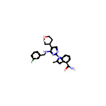 Cc1cc2c(C(N)=O)cccc2n1-c1ncc(C2CCOCC2)c(NCc2cccc(F)c2)n1